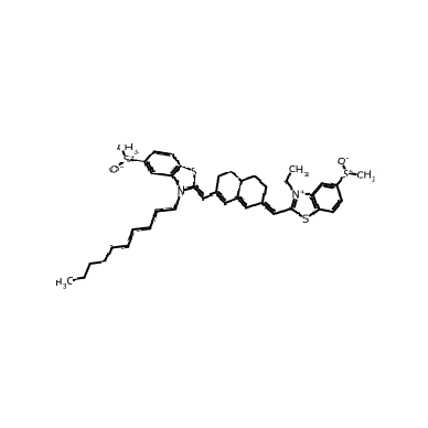 CCCCCCCCCCN1/C(=C/C2=CC3=C/C(=C/c4sc5ccc([S+](C)[O-])cc5[n+]4CC)CCC3CC2)Sc2ccc([S+](C)[O-])cc21